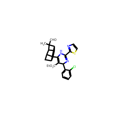 CCOC(=O)C1=C(C23C4CC2C2C3C4C2(C)C=O)NC(c2nccs2)=NC1c1ccccc1Cl